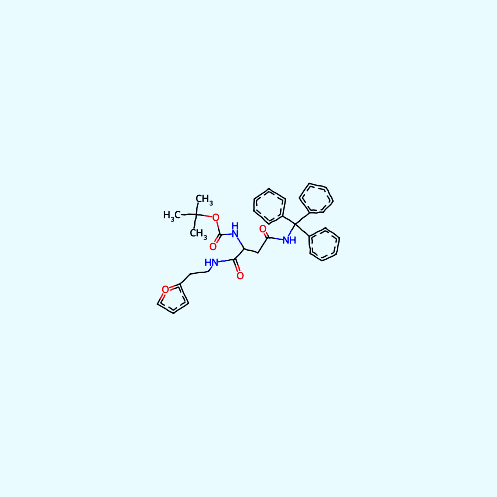 CC(C)(C)OC(=O)NC(CC(=O)NC(c1ccccc1)(c1ccccc1)c1ccccc1)C(=O)NCCc1ccco1